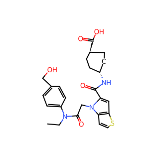 CCN(C(=O)Cn1c(C(=O)N[C@H]2CC[C@H](C(=O)O)CC2)cc2sccc21)c1ccc(CO)cc1